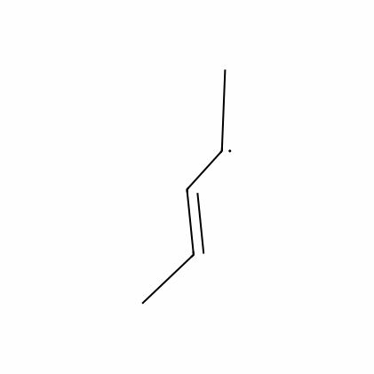 C[CH]C=CC